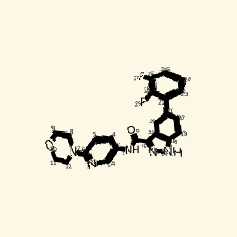 O=C(Nc1ccc(N2CCOCC2)nc1)c1n[nH]c2ccc(-c3cccc(F)c3F)cc12